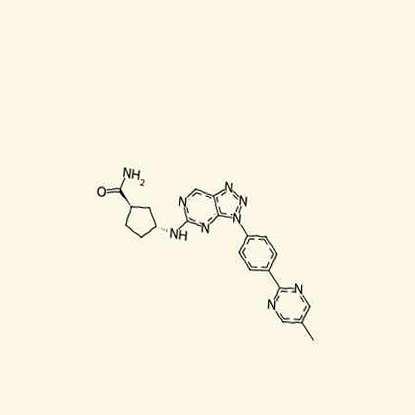 Cc1cnc(-c2ccc(-n3nnc4cnc(N[C@@H]5CC[C@@H](C(N)=O)C5)nc43)cc2)nc1